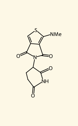 CNc1scc2c1C(=O)N(C1CCC(=O)NC1=O)C2=O